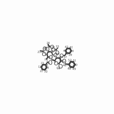 CO[C@@H]1OC(COCc2ccccc2)[C@H](O[C@@H]2OC(C)[C@H](OC(C)=O)C(OC(C)=O)C2OC(C)=O)C(OCc2ccccc2)C1OCc1ccccc1